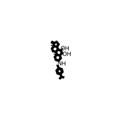 C=C1CCC2C3C(CC[C@]12C)[C@@]1(C)CC[C@@H](NCc2ccc(C(C)C)cc2)CC1[C@@H](O)[C@@H]3O